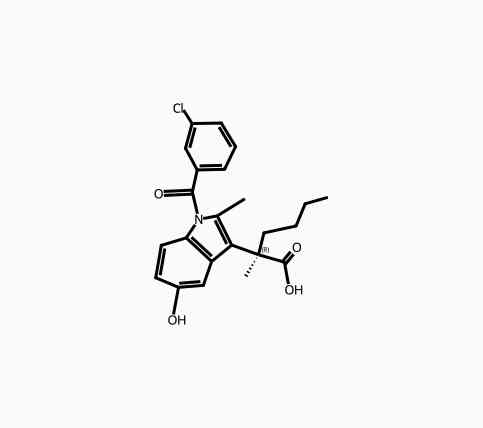 CCCC[C@@](C)(C(=O)O)c1c(C)n(C(=O)c2cccc(Cl)c2)c2ccc(O)cc12